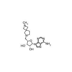 CN1CC2(CCN(C[C@H]3O[C@@H](n4cnc5c(N)ncnc54)[C@H](O)[C@@H]3O)C2)C1